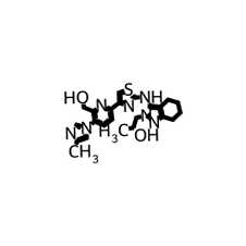 Cc1cn(-c2ccc(-c3csc(Nc4c5c(nn4CC(C)O)CCCC5)n3)nc2CO)cn1